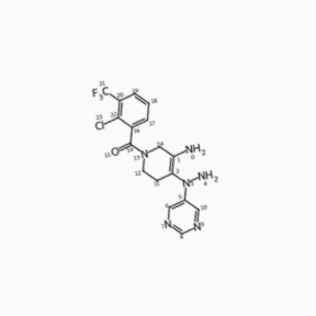 NC1=C(N(N)c2cncnc2)CCN(C(=O)c2cccc(C(F)(F)F)c2Cl)C1